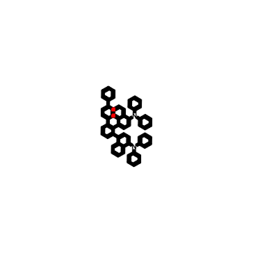 c1ccc(-c2ccc(-c3cccc(-c4ccc(N(c5ccccc5)c5ccccc5)c5ccccc45)c3-c3ccc(N(c4ccccc4)c4ccccc4)c4ccccc34)cc2)cc1